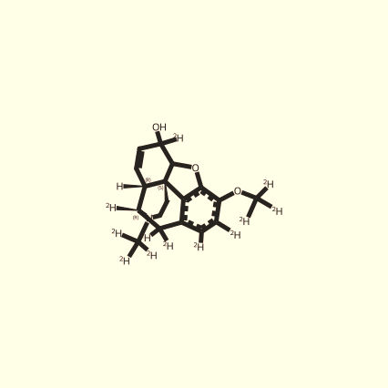 [2H]c1c([2H])c2c3c(c1OC([2H])([2H])[2H])OC1C([2H])(O)C=C[C@@H]4[C@@]31CCN(C([2H])([2H])[2H])[C@]4([2H])C2([2H])[2H]